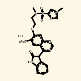 COc1cc2c(C3C(=O)Nc4ccccc43)ncnc2cc1OCCN(C)S(=O)(=O)c1cn(C)cn1.Cl